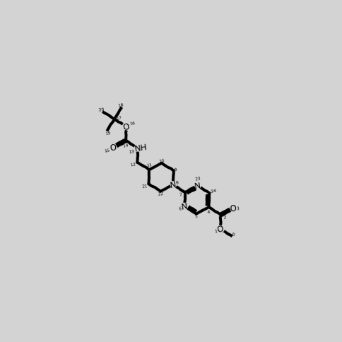 COC(=O)c1cnc(N2CCC(CNC(=O)OC(C)(C)C)CC2)nc1